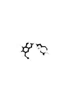 C[C@@H](C#N)c1cc2cc(Nc3cc4n(n3)CC(=O)N(C)CC4)ncc2c(N)c1F